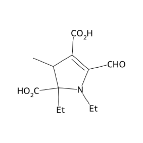 CCN1C(C=O)=C(C(=O)O)C(C)C1(CC)C(=O)O